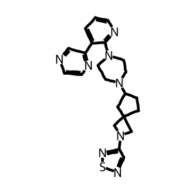 c1cnc(N2CCN(C3CCC4(C3)CN(c3cnsn3)C4)CC2)c(-c2cnccn2)c1